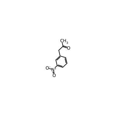 CC(=O)Cc1cccc([N+](=O)[O-])c1